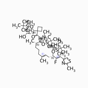 CC[C@@H](C(=O)C1([C@H](CCO)O[Si](C)(C)C(C)(C)C)CCC1)[C@@H](O[Si](C)(C)C(C)(C)C)[C@@H](C)CCC/C(C)=C/C[C@H](O[Si](C)(C)C(C)(C)C)/C(F)=C/c1csc(C)n1